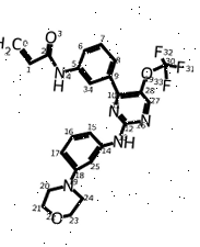 C=CC(=O)Nc1cccc(-c2nc(Nc3cccc(N4CCOCC4)c3)ncc2OC(F)(F)F)c1